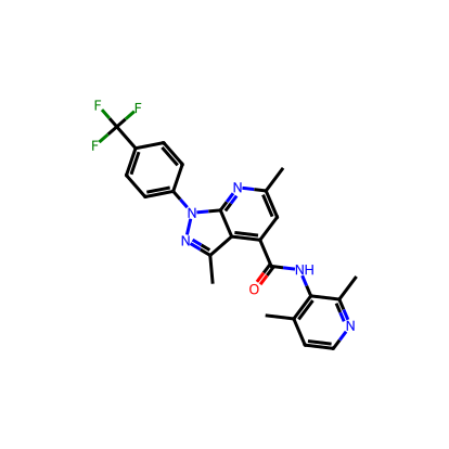 Cc1cc(C(=O)Nc2c(C)ccnc2C)c2c(C)nn(-c3ccc(C(F)(F)F)cc3)c2n1